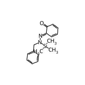 C[Si](C)(C)N(Cc1ccccc1)N=C1C=CC=CC1=O